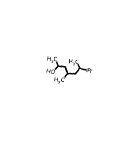 CC(O)CC(C)CC(C)C(C)C